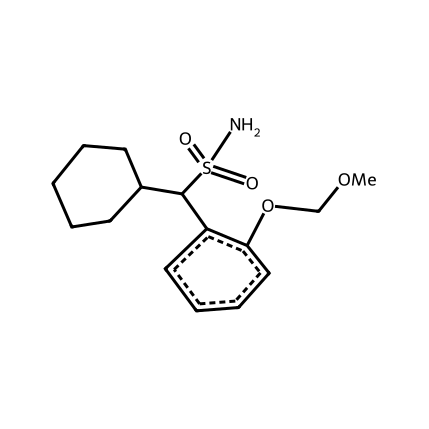 COCOc1ccccc1C(C1CCCCC1)S(N)(=O)=O